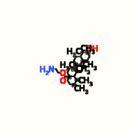 C[C@@H]1CC[C@]2(C(=O)OCCN)CC[C@]3(C)C(=CCC4[C@@]5(C)CC[C@H](O)C(C)(C)C5CC[C@]43C)C2[C@H]1C